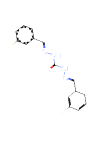 O=C(N/N=C/c1cccc(F)c1)N/N=C/C1C=C(F)C=CC1